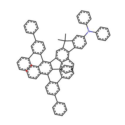 CC1(C)c2cc(N(c3ccccc3)c3ccccc3)ccc2-c2c1cc1c3c(cccc23)-c2c-1c(-c1ccc(-c3ccccc3)cc1-c1ccccc1)c1ccccc1c2-c1ccc(-c2ccccc2)cc1-c1ccccc1